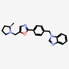 C[C@@H]1CCCN1Cc1cnc(-c2ccc(Cn3cnc4ccccc43)cc2)o1